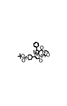 CC(C)(C)OC(=O)N1CCC(c2cc(=O)[nH]c3c(C(=O)N4CCOCC4)c(-c4ccccc4)nn23)CC1